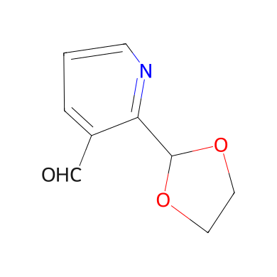 O=Cc1cccnc1C1OCCO1